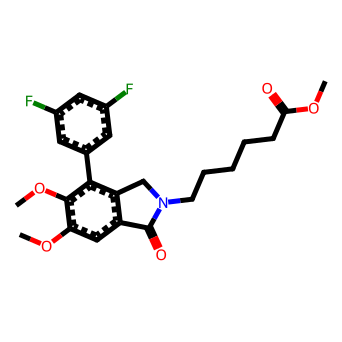 COC(=O)CCCCCN1Cc2c(cc(OC)c(OC)c2-c2cc(F)cc(F)c2)C1=O